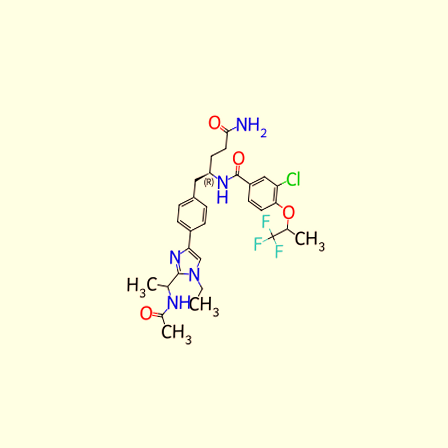 CCn1cc(-c2ccc(C[C@@H](CCC(N)=O)NC(=O)c3ccc(OC(C)C(F)(F)F)c(Cl)c3)cc2)nc1C(C)NC(C)=O